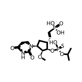 CO[C@@H]1[C@H](OP(O)(=S)OC(C)C)[C@@H](/C=C/P(=O)(O)O)C[C@@H]1n1ccc(=O)[nH]c1=O